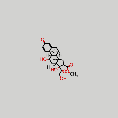 COC(=O)C1C[C@H]2[C@@H]3CCC4=CC(=O)C=C[C@]4(C)[C@H]3C(O)C[C@]2(C)[C@@]1(O)C(=O)CO